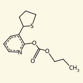 CCCOC(=O)Oc1ncccc1C1CCCS1